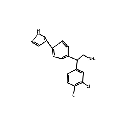 NCC(c1ccc(-c2cn[nH]c2)cc1)c1ccc(Cl)c(Cl)c1